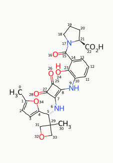 Cc1ccc([C@H](Nc2c(Nc3cccc(C(=O)N4CCC[C@H]4C(=O)O)c3O)c(=O)c2=O)C2(C)COC2)o1